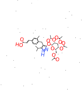 CC(=O)OC[C@H]1O[C@@H](Oc2n[nH]c(C(C)C)c2Cc2ccc(/C=C/C(=O)O)cc2C)[C@H](OC(C)=O)[C@@H](OC(C)=O)[C@@H]1OC(C)=O